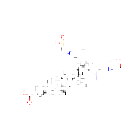 CC(CN1CCS(=O)(=O)CC1)[C@@H]1CC[C@]2(NCCN3CCOCC3)CC[C@]3(C)[C@H](CC[C@@H]4[C@@]5(C)CC=C(c6ccc(C(=O)O)cc6)C(C)(C)[C@@H]5CC[C@]43C)[C@@H]12